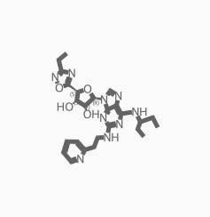 CCc1noc([C@H]2O[C@@H](n3cnc4c(NC(CC)CC)nc(NCCc5ccccn5)nc43)[C@H](O)[C@@H]2O)n1